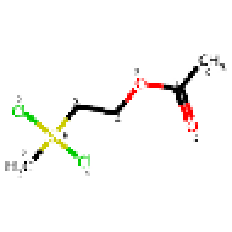 CC(=O)OCCS(C)(Cl)Cl